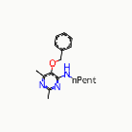 CCCCCNc1nc(C)nc(C)c1OCc1ccccc1